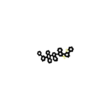 c1ccc(-c2cccc(-c3c4ccccc4c(-c4ccc(-c5cc6sc7ccc8c9ccccc9sc8c7c6c6ccccc56)c5ccccc45)c4ccccc34)c2)cc1